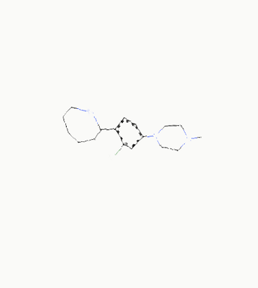 CN1CCN(c2ccc(C3CCCCCN3)c(Cl)c2)CC1